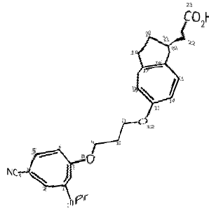 CCCc1cc(C#N)ccc1OCCCOc1ccc2c(c1)CC[C@H]2CC(=O)O